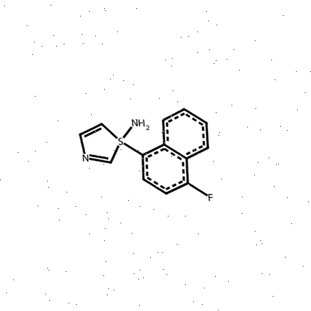 NS1(c2ccc(F)c3ccccc23)C=CN=C1